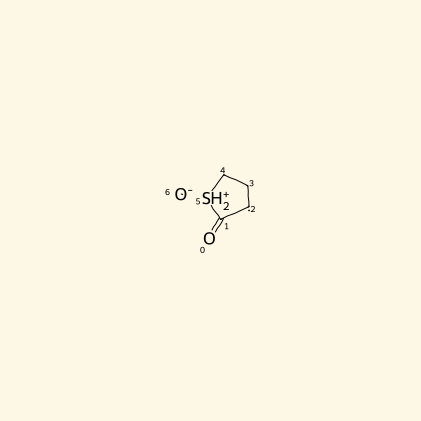 O=C1[CH]CC[SH2+]1[O-]